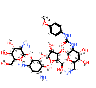 COc1ccc(NC(=O)NC2[C@@H](OC3[C@@H](CO)O[C@@H](O[C@@H]4C(O)[C@H](N)CC(N)[C@H]4O[C@H]4OC(CO)[C@@H](O)[C@H](O)C4N)[C@H]3O)OC(CN)[C@@H](O)[C@H]2O)cc1